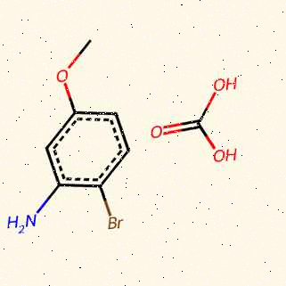 COc1ccc(Br)c(N)c1.O=C(O)O